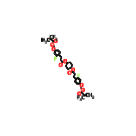 C=C(C(=O)OCOc1ccc(CCC(=O)OC2CCC(OC(=O)CCc3ccc(OCOC(=O)C(=C)C(F)(F)F)cc3F)CC2)c(F)c1)C(F)(F)F